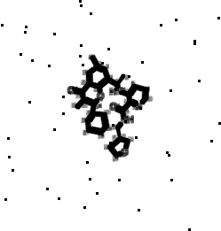 Cc1cc([C@@H](C)Nc2cccnc2C(=O)NC[C@@H]2CCOC2)c2oc(-c3ccccc3)c(C)c(=O)c2c1